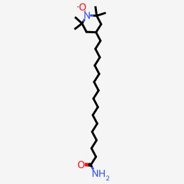 CC1(C)CC(CCCCCCCCCCCCCCCC(N)=O)CC(C)(C)N1[O]